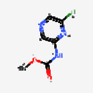 CC(C)(C)OC(=O)Nc1cncc(Cl)n1